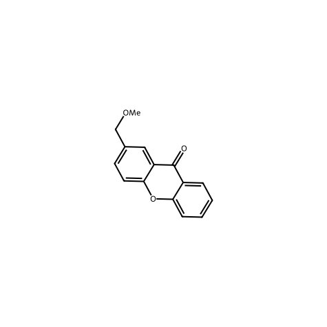 COCc1ccc2oc3ccccc3c(=O)c2c1